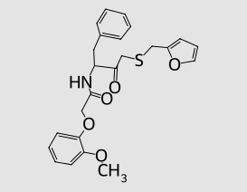 COc1ccccc1OCC(=O)NC(Cc1ccccc1)C(=O)CSCc1ccco1